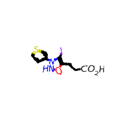 O=C(O)CCC1=C(I)N(c2ccsc2)NO1